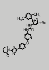 Cc1ccc(C)c(-n2nc(C(C)(C)C)cc2NC(=O)Nc2cnc(Oc3ccc(-c4cnc(N5CCCCC5=O)s4)cc3)nc2)c1